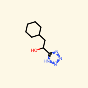 OC(CC1CCCCC1)c1nnn[nH]1